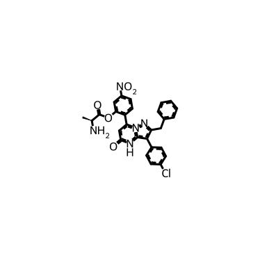 C[C@H](N)C(=O)Oc1cc([N+](=O)[O-])ccc1-c1cc(=O)[nH]c2c(-c3ccc(Cl)cc3)c(Cc3ccccc3)nn12